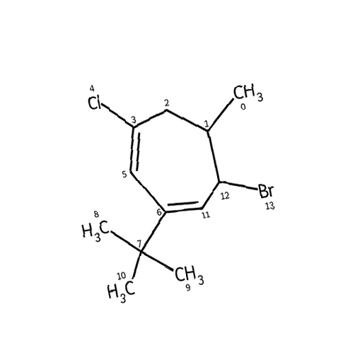 CC1CC(Cl)=CC(C(C)(C)C)=CC1Br